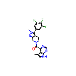 Cc1c[nH]c2ncnc(C(=O)N3CCc4c(nn(C)c4-c4cc(F)c(F)c(F)c4)C3)c12